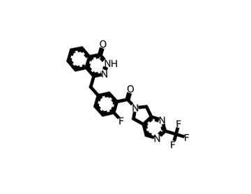 O=C(c1cc(Cc2n[nH]c(=O)c3ccccc23)ccc1F)N1Cc2cnc(C(F)(F)F)nc2C1